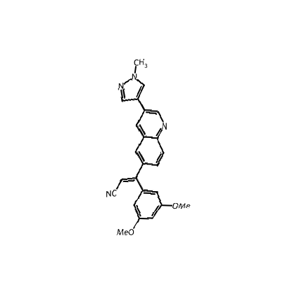 COc1cc(OC)cc(C(=CC#N)c2ccc3ncc(-c4cnn(C)c4)cc3c2)c1